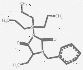 CCC[Si](CCC)(CCC)N1C(=O)C(CC)N(Cc2ccccc2)C1=O